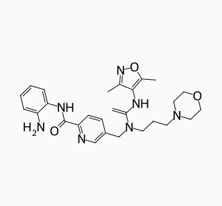 C=C(Nc1c(C)noc1C)N(CCCN1CCOCC1)Cc1ccc(C(=O)Nc2ccccc2N)nc1